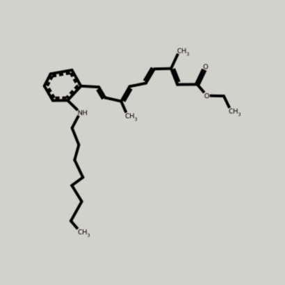 CCCCCCCCNc1ccccc1C=CC(C)=CC=CC(C)=CC(=O)OCC